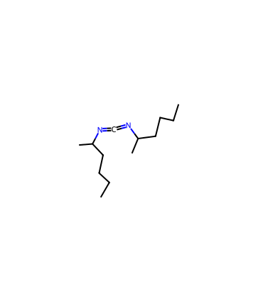 CCCCC(C)N=C=NC(C)CCCC